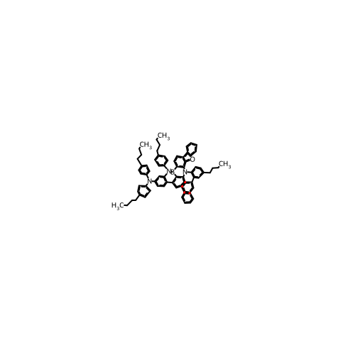 CCCCc1ccc(N2B3c4ccc5c(oc6ccccc65)c4N(c4ccc(CCCC)cc4-c4ccccc4)c4cc(-c5ccccc5)cc(c43)-c3ccc(N(c4ccc(CCCC)cc4)c4ccc(CCCC)cc4)cc32)cc1